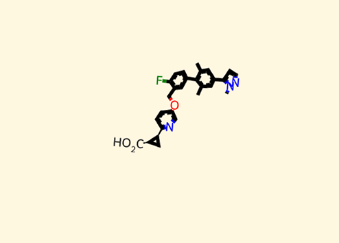 Cc1cc(-c2ccnn2C)cc(C)c1-c1ccc(F)c(COc2ccc([C@H]3C[C@@H]3C(=O)O)nc2)c1